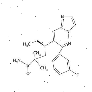 CC[C@H](CC(C)(C)[S+](N)[O-])c1cc2nccn2nc1-c1cccc(F)c1